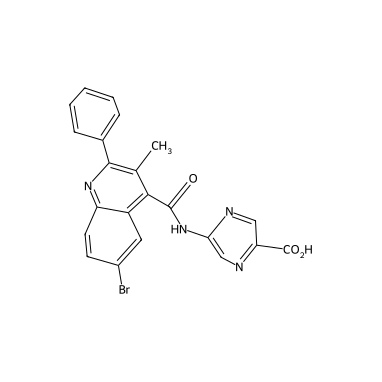 Cc1c(-c2ccccc2)nc2ccc(Br)cc2c1C(=O)Nc1cnc(C(=O)O)cn1